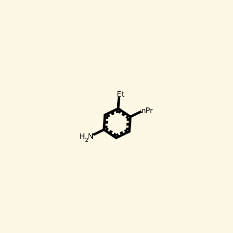 CCCc1ccc(N)cc1CC